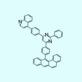 c1ccc(-c2nc(-c3ccc(-c4ccnc5ccccc45)cc3)cc(-c3ccc(-c4c5ccccc5cc5ccc6ccccc6c45)cc3)n2)cc1